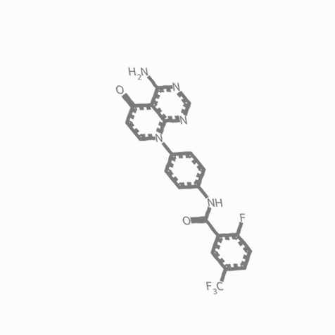 Nc1ncnc2c1c(=O)ccn2-c1ccc(NC(=O)c2cc(C(F)(F)F)ccc2F)cc1